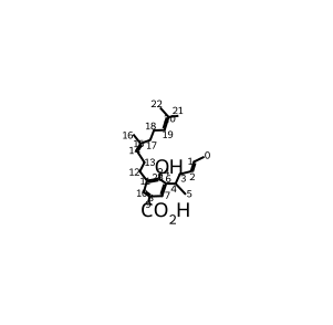 CC=CCC(C)c1cc(C(=O)O)cc(CCC=C(C)CCC=C(C)C)c1O